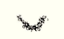 Cc1c(C(=O)N2CCN(c3ncc(C(F)(F)F)cn3)CC2)ccn1CC(C)Nc1cnn(COCC[Si](C)(C)C)c(=O)c1C(F)(F)F